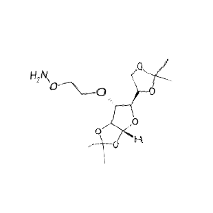 CC1(C)OCC([C@H]2O[C@@H]3OC(C)(C)OC3[C@@H]2OCCON)O1